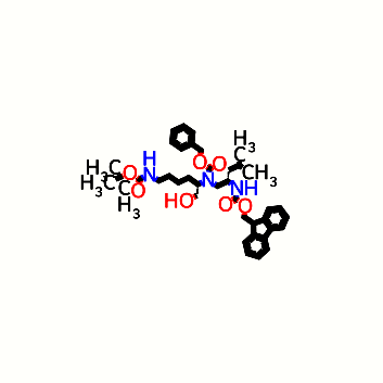 CC(C)C[C@@H](CN(C(=O)OCc1ccccc1)[C@H](CO)CCCCNC(=O)OC(C)(C)C)NC(=O)OCC1c2ccccc2-c2ccccc21